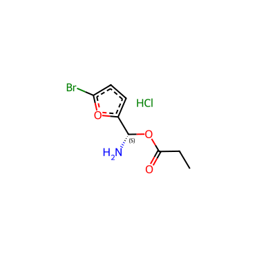 CCC(=O)O[C@H](N)c1ccc(Br)o1.Cl